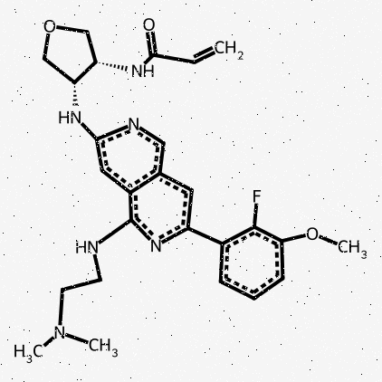 C=CC(=O)N[C@H]1COC[C@H]1Nc1cc2c(NCCN(C)C)nc(-c3cccc(OC)c3F)cc2cn1